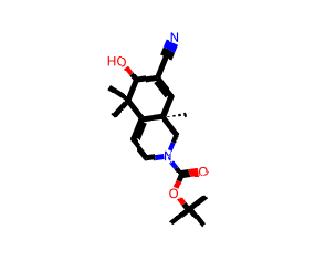 CC(C)(C)OC(=O)N1CC=C2C(C)(C)C(O)C(C#N)=C[C@@]2(C)C1